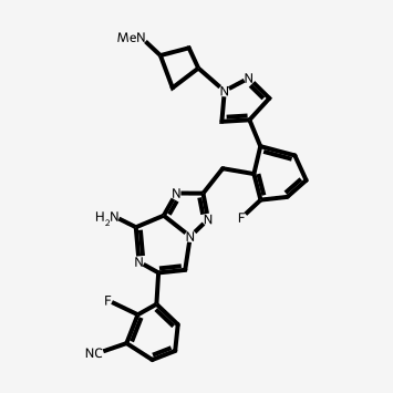 CNC1CC(n2cc(-c3cccc(F)c3Cc3nc4c(N)nc(-c5cccc(C#N)c5F)cn4n3)cn2)C1